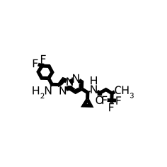 CC(CC(=O)N[C@@H](c1cnn2cc([C@@H](N)C3CCC(F)(F)CC3)nc2c1)C1CC1)C(F)(F)F